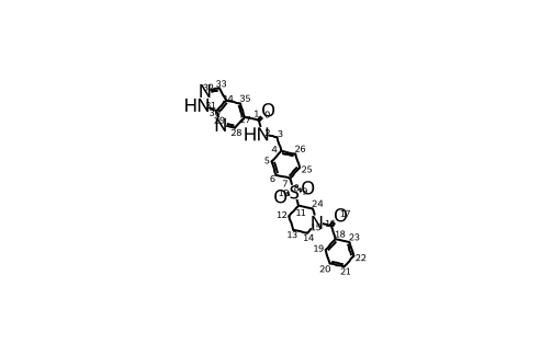 O=C(NCc1ccc(S(=O)(=O)C2CCCN(C(=O)c3ccccc3)C2)cc1)c1cnc2[nH]ncc2c1